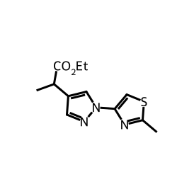 CCOC(=O)C(C)c1cnn(-c2csc(C)n2)c1